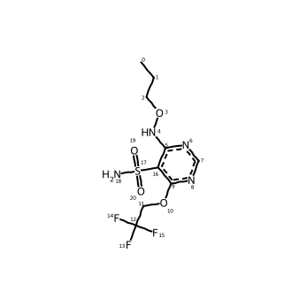 CCCONc1ncnc(OCC(F)(F)F)c1S(N)(=O)=O